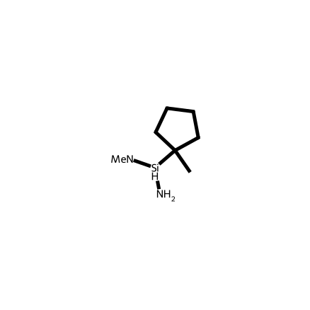 CN[SiH](N)C1(C)CCCC1